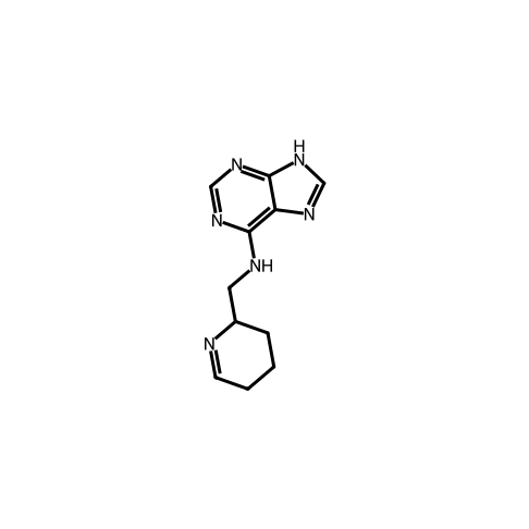 C1=NC(CNc2ncnc3[nH]cnc23)CCC1